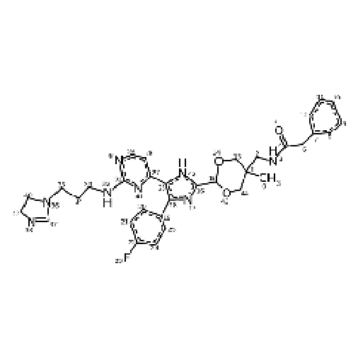 CC1(CNC(=O)Cc2ccccc2)COC(c2nc(-c3ccc(F)cc3)c(-c3ccnc(NCCCN4C=NCC4)n3)[nH]2)OC1